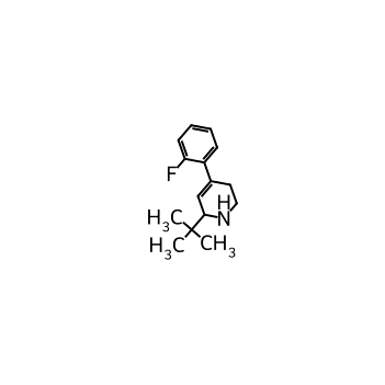 CC(C)(C)C1C=C(c2ccccc2F)CCN1